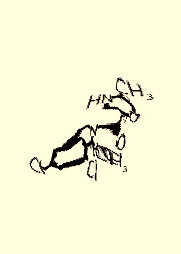 C[C@H]1CO[C@@H](C(=O)N2CCc3cc(Cl)cc(Cl)c3[C@@H]2C)CN1.Cl